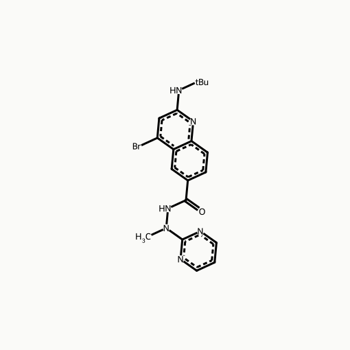 CN(NC(=O)c1ccc2nc(NC(C)(C)C)cc(Br)c2c1)c1ncccn1